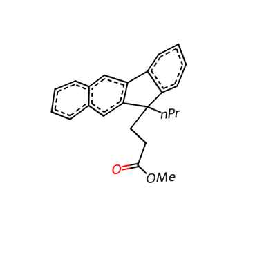 CCCC1(CCC(=O)OC)c2ccccc2-c2cc3ccccc3cc21